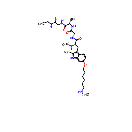 CCC(C)C(NC(=O)CNC(=O)C(Cc1c(SC)[nH]c2cc(OCCCCCCNC=O)ccc12)NC=O)C(=O)NCC(=O)NCC=O